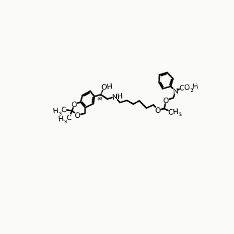 CC(OCCCCCCNC[C@H](O)c1ccc2c(c1)COC(C)(C)O2)OCN(C(=O)O)c1ccccc1